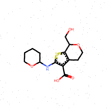 O=C(O)c1c(NC2CCCCO2)sc2c1CCOC2CO